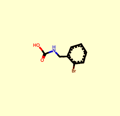 O=C(O)NCc1ccccc1Br